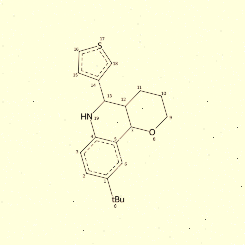 CC(C)(C)c1ccc2c(c1)C1OCCCC1C(c1ccsc1)N2